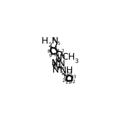 CC1Cc2c(CN)cccc2N1c1ncnc(NCc2ccccc2)n1